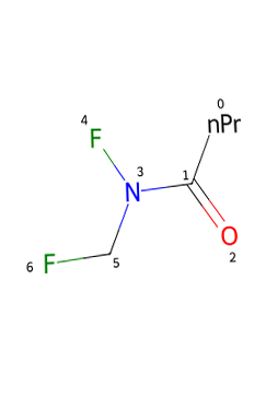 CCCC(=O)N(F)CF